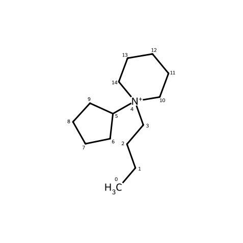 CCCC[N+]1(C2CCCC2)CCCCC1